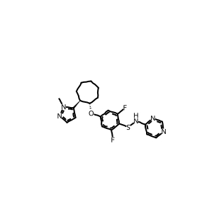 Cn1nccc1[C@H]1CCCCC[C@@H]1Oc1cc(F)c(SNc2ccncn2)c(F)c1